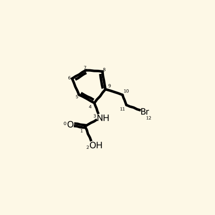 O=C(O)Nc1ccccc1CCBr